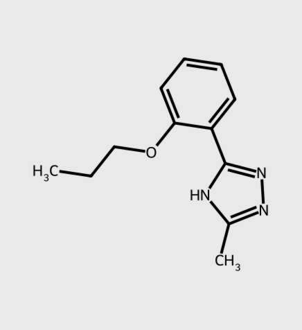 CCCOc1ccccc1-c1nnc(C)[nH]1